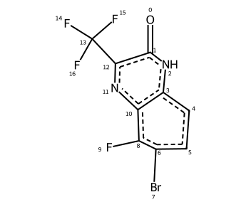 O=c1[nH]c2ccc(Br)c(F)c2nc1C(F)(F)F